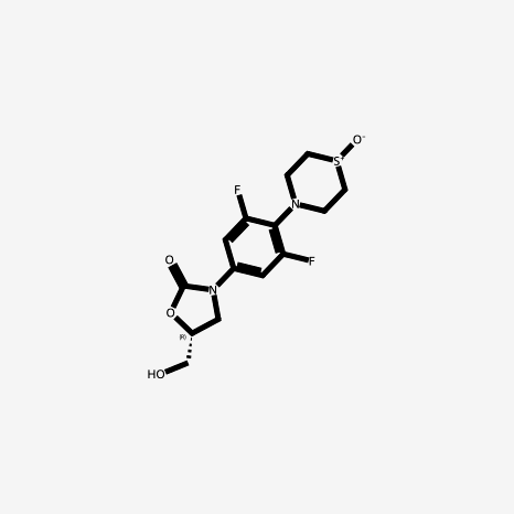 O=C1O[C@@H](CO)CN1c1cc(F)c(N2CC[S+]([O-])CC2)c(F)c1